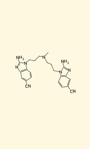 CN(CCCn1c(N)nc2cc(C#N)ccc21)CCCn1c(N)nc2cc(C#N)ccc21